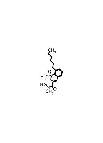 CCCCCCc1cccc(C=CC(=O)N(C)O)c1S(C)(=O)=O